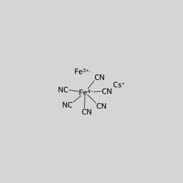 N#[C][Fe-4]([C]#N)([C]#N)([C]#N)([C]#N)[C]#N.[Cs+].[Fe+3]